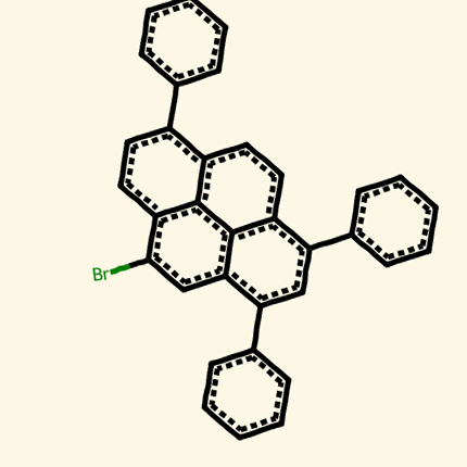 Brc1cc2c(-c3ccccc3)cc(-c3ccccc3)c3ccc4c(-c5ccccc5)ccc1c4c32